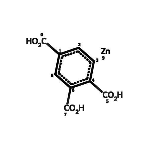 O=C(O)c1ccc(C(=O)O)c(C(=O)O)c1.[Zn]